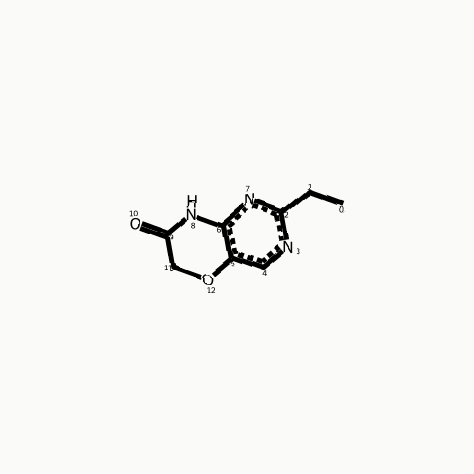 CCc1ncc2c(n1)NC(=O)CO2